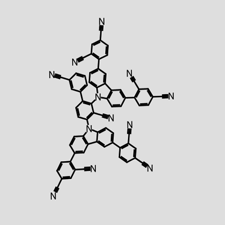 N#Cc1cccc(-c2ccc(-n3c4ccc(-c5ccc(C#N)cc5C#N)cc4c4cc(-c5ccc(C#N)cc5C#N)ccc43)c(C#N)c2-n2c3ccc(-c4ccc(C#N)cc4C#N)cc3c3cc(-c4ccc(C#N)cc4C#N)ccc32)c1